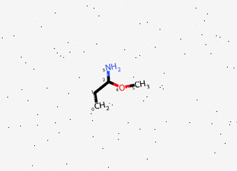 [CH2]CC(N)OC